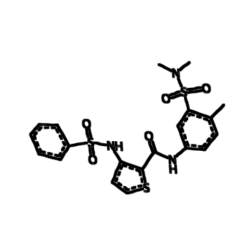 Cc1ccc(NC(=O)c2sccc2NS(=O)(=O)c2ccccc2)cc1S(=O)(=O)N(C)C